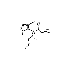 COC[C@@H](C)N(C(=O)CCl)c1c(C)csc1C